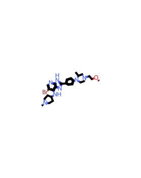 COCCN1CCN(c2ccc(-c3nc4c(NC5CCN(C)CC5)c(Br)cnc4[nH]3)cc2)C(C)C1